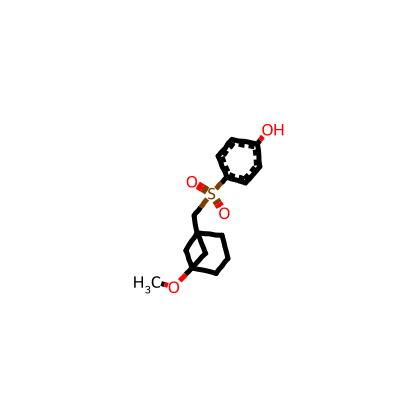 COC12CCCC(CS(=O)(=O)c3ccc(O)cc3)(C1)C2